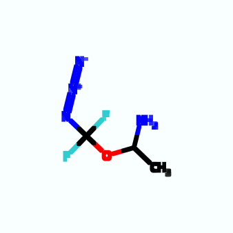 CC(N)OC(F)(F)N=[N+]=[N-]